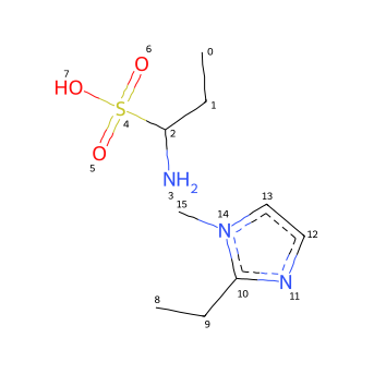 CCC(N)S(=O)(=O)O.CCc1nccn1C